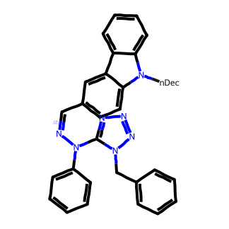 CCCCCCCCCCn1c2ccccc2c2cc(/C=N\N(c3ccccc3)c3nnnn3Cc3ccccc3)ccc21